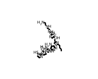 CCCCc1nc(CO)c[nH]1.NCCNCCN.Nc1ccncc1.Nc1nc[nH]n1.Nc1nccs1.Sc1ncc[nH]1.Sn1ccnn1